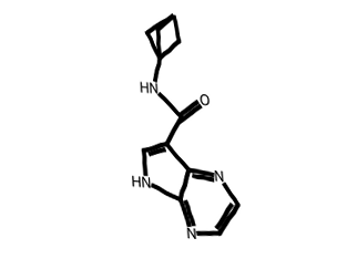 O=C(NC12CC(C1)C2)c1c[nH]c2nccnc12